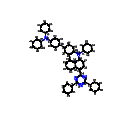 c1ccc(-c2nc(-c3ccccc3)nc(-c3ccc4c5c(cccc35)-c3cc(-c5ccc(N(c6ccccc6)c6ccccc6)cc5)ccc3N4c3ccccc3)n2)cc1